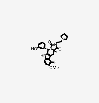 COc1ccc2[nH]c3c(c2c1F)C[C@@]1(C)C(=O)N(CCN2CC=CC2)C(=O)N1[C@@H]3c1cccc(O)c1